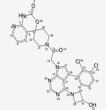 O=C1Nc2ncccc2C2(CCN(C(=O)Cn3cc(-c4cccc(Cl)c4Cl)c4c(N5CC(O)C5)ncnc43)CC2)O1